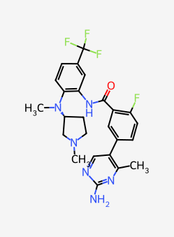 Cc1nc(N)ncc1-c1ccc(F)c(C(=O)Nc2cc(C(F)(F)F)ccc2N(C)[C@H]2CCN(C)C2)c1